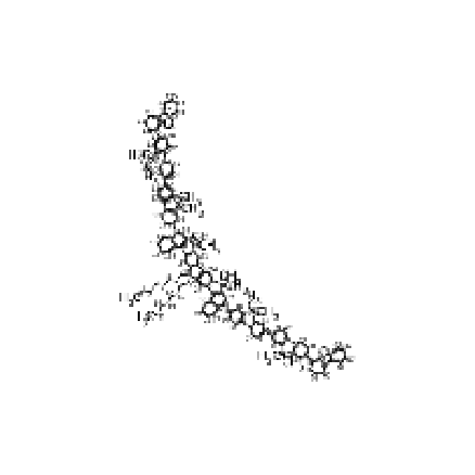 CCCCCCCCC1(CCCCCCCC)c2cc3c(cc2-c2cc4c(cc21)-c1c(cc(-c2ccc5c(c2)C(C)(C)c2cc(-c6ccc7c(c6)C(C)(C)c6cc(-c8cccc9c8oc8ccccc89)ccc6-7)ccc2-5)c2ccccc12)C4(C)C)C(C)(C)c1cc(-c2ccc4c(c2)C(C)(C)c2cc(-c5ccc6c(c5)C(C)(C)c5cc(-c7cccc8c7oc7ccccc78)ccc5-6)ccc2-4)c2ccccc2c1-3